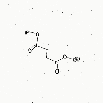 CC(C)OC(=O)CCC(=O)OC(C)(C)C